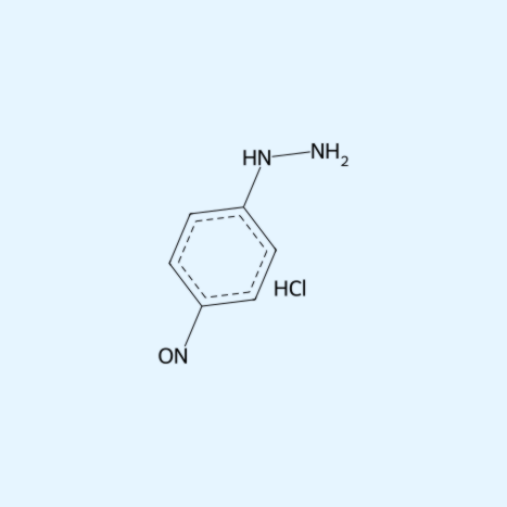 Cl.NNc1ccc(N=O)cc1